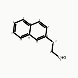 O=CCSc1ccc2ccccc2c1